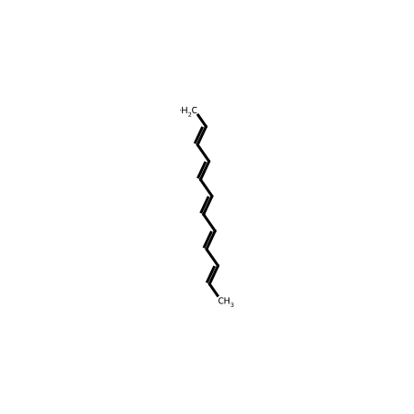 [CH2]/C=C/C=C/C=C/C=C/C=C/C